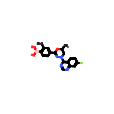 COc1cc(C2=NN(c3ncnc4cc(F)ccc34)CC(C)O2)ccc1B(O)O